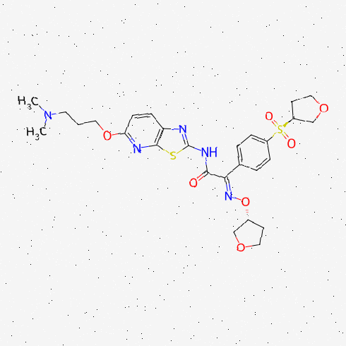 CN(C)CCCOc1ccc2nc(NC(=O)/C(=N/O[C@@H]3CCOC3)c3ccc(S(=O)(=O)[C@H]4CCOC4)cc3)sc2n1